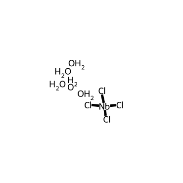 O.O.O.O.O.[Cl][Nb]([Cl])([Cl])[Cl]